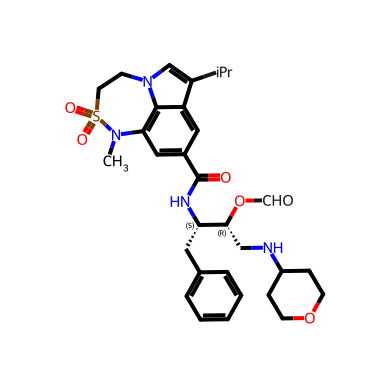 CC(C)c1cn2c3c(cc(C(=O)N[C@@H](Cc4ccccc4)[C@@H](CNC4CCOCC4)OC=O)cc13)N(C)S(=O)(=O)CC2